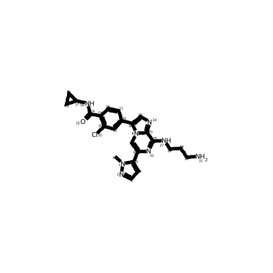 Cn1nccc1-c1cn2c(-c3ccc(C(=O)NC4CC4)c(Cl)c3)cnc2c(NCCCN)n1